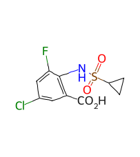 O=C(O)c1cc(Cl)cc(F)c1NS(=O)(=O)C1CC1